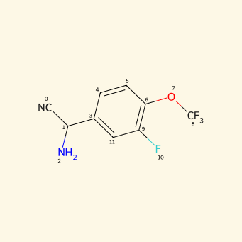 N#CC(N)c1ccc(OC(F)(F)F)c(F)c1